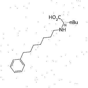 CCCC[C@H](NCCCCCCCc1ccccc1)C(=O)O